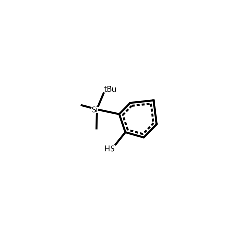 CC(C)(C)[Si](C)(C)c1ccccc1S